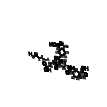 NCCCC[C@@H](CC(=O)O)NC(=O)[C@@H]1C[C@@H](NC(=O)c2ccc3c(c2)B(O)OC3)CN1C(=O)c1ccc2c(c1)B(O)OC2